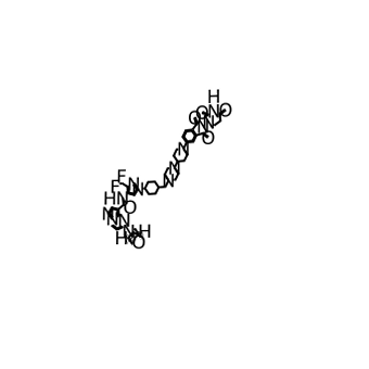 O=C1CCN(N2C(=O)c3ccc(N4CCC(N5CCN(CC6CCC(n7cc(NC(=O)c8cnn9ccc(N%10C[C@H]%11C[C@@H]%10CO%11)nc89)c(C(F)F)n7)CC6)CC5)CC4)cc3C2=O)C(=O)N1